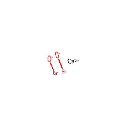 [Ca+2].[O-]Br.[O-]Br